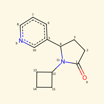 O=C1CCC(c2cccnc2)N1C1CCC1